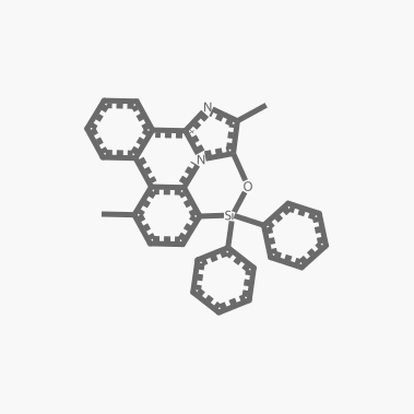 Cc1nc2c3ccccc3c3c(C)ccc4c3n2c1O[Si]4(c1ccccc1)c1ccccc1